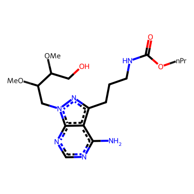 CCCOC(=O)NCCCc1nn(CC(OC)C(CO)OC)c2ncnc(N)c12